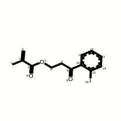 C=C(C)C(=O)OCCC(=O)c1ccccc1I